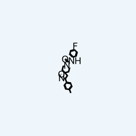 Cc1ccc(C2=NOC3(CCN(C(=O)Nc4ccc(F)cc4)CC3)C2)cc1